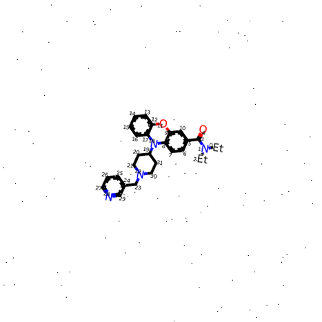 CCN(CC)C(=O)c1ccc2c(c1)Oc1ccccc1N2C1CCN(Cc2cccnc2)CC1